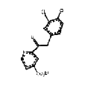 CCOC(=O)c1ccnc(C(=O)Cc2ccc(Cl)c(Cl)c2)c1